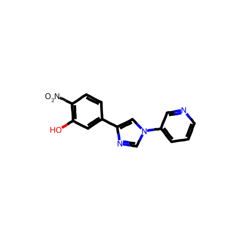 O=[N+]([O-])c1ccc(-c2cn(-c3cccnc3)cn2)cc1O